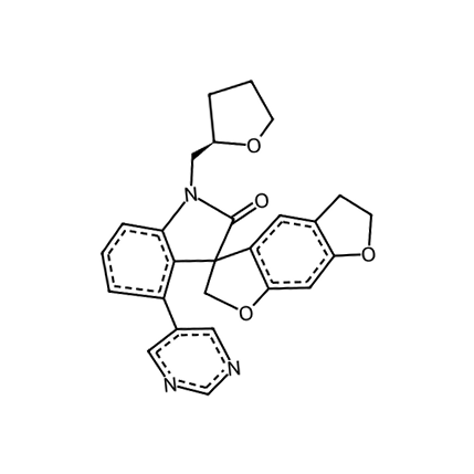 O=C1N(C[C@H]2CCCO2)c2cccc(-c3cncnc3)c2C12COc1cc3c(cc12)CCO3